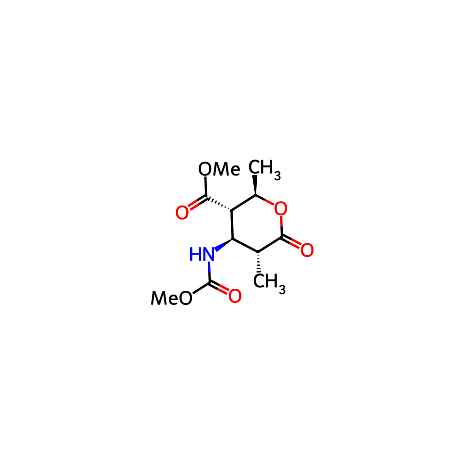 COC(=O)N[C@H]1[C@H](C(=O)OC)[C@@H](C)OC(=O)[C@@H]1C